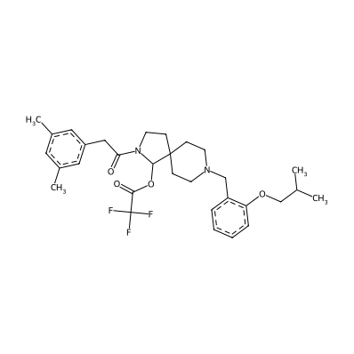 Cc1cc(C)cc(CC(=O)N2CCC3(CCN(Cc4ccccc4OCC(C)C)CC3)C2OC(=O)C(F)(F)F)c1